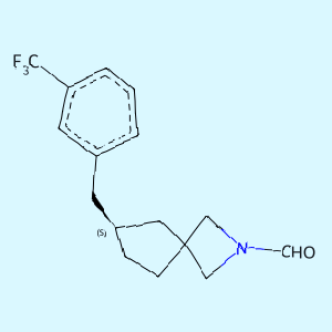 O=CN1CC2(CC[C@@H](Cc3cccc(C(F)(F)F)c3)C2)C1